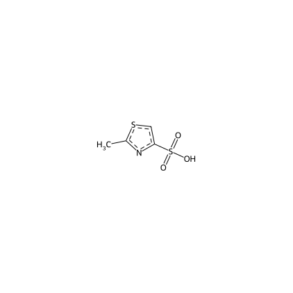 Cc1nc(S(=O)(=O)O)cs1